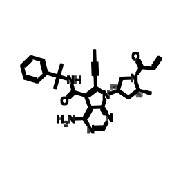 C=CC(=O)N1C[C@H](n2c(C#CC)c(C(=O)NC(C)(C)c3ccccc3)c3c(N)ncnc32)C[C@@H]1C